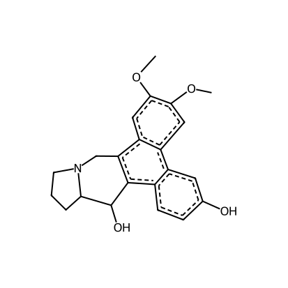 COc1cc2c3c(c4ccc(O)cc4c2cc1OC)C(O)C1CCCN1C3